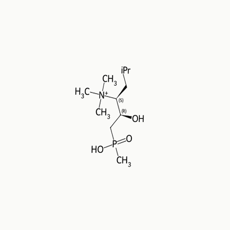 CC(C)C[C@@H]([C@@H](O)CP(C)(=O)O)[N+](C)(C)C